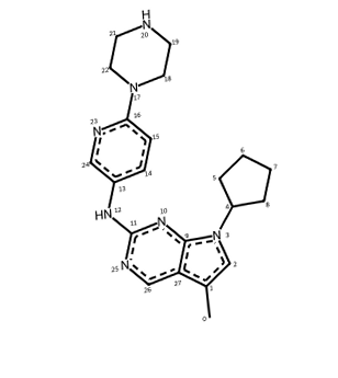 Cc1cn(C2CCCC2)c2nc(Nc3ccc(N4CCNCC4)nc3)ncc12